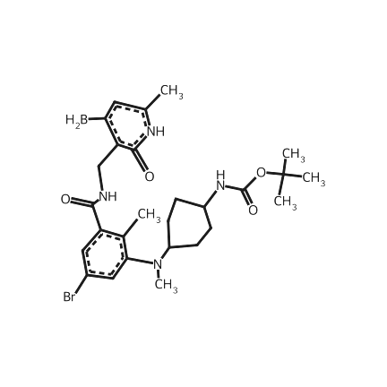 Bc1cc(C)[nH]c(=O)c1CNC(=O)c1cc(Br)cc(N(C)C2CCC(NC(=O)OC(C)(C)C)CC2)c1C